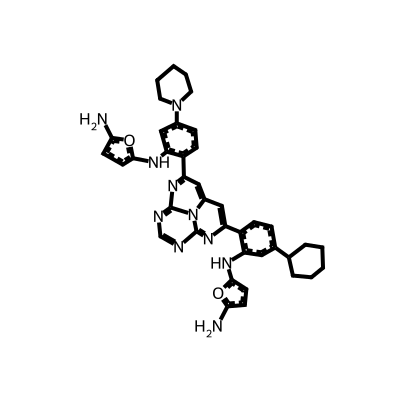 Nc1ccc(Nc2cc(C3CCCCC3)ccc2C2=CC3=CC(c4ccc(N5CCCCC5)cc4Nc4ccc(N)o4)=NC4=NC=NC(=N2)N34)o1